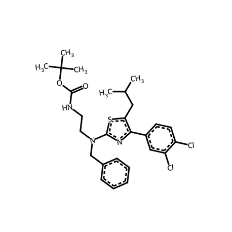 CC(C)Cc1sc(N(CCNC(=O)OC(C)(C)C)Cc2ccccc2)nc1-c1ccc(Cl)c(Cl)c1